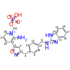 Nc1c(-c2cc(Cc3ccc(CNc4nc5ccccc5[nH]4)cc3)no2)ccc[n+]1COP(=O)([O-])O